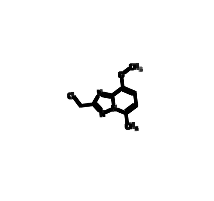 COc1ccc(C)n2nc(CCl)nc12